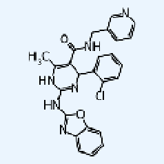 CC1=C(C(=O)NCc2cccnc2)C(c2ccccc2Cl)N=C(Nc2nc3ccccc3o2)N1